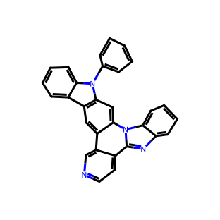 c1ccc(-n2c3ccccc3c3cc4c5cnccc5c5nc6ccccc6n5c4cc32)cc1